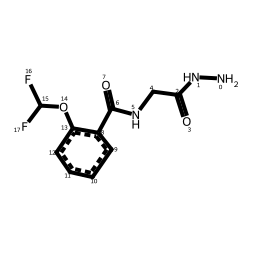 NNC(=O)CNC(=O)c1ccccc1OC(F)F